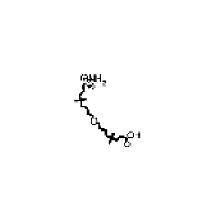 CC(C)(CCCCOCCCCC(C)(C)CCC(=O)O)CCCS(N)(=O)=O